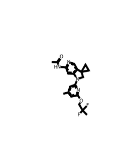 CC(=O)Nc1cc2c(cn1)C1(CC1)CN2c1cc(C)cc(OCC(C)(F)F)n1